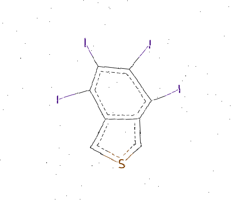 Ic1c(I)c(I)c2cscc2c1I